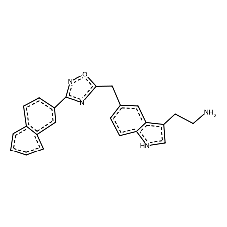 NCCc1c[nH]c2ccc(Cc3nc(-c4ccc5ccccc5c4)no3)cc12